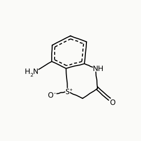 Nc1cccc2c1[S+]([O-])CC(=O)N2